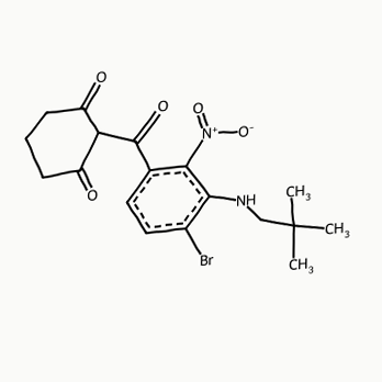 CC(C)(C)CNc1c(Br)ccc(C(=O)C2C(=O)CCCC2=O)c1[N+](=O)[O-]